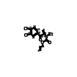 C=CCOC(=O)N(CC)C(=C)C(=O)c1ccc(Cl)c(Cl)c1